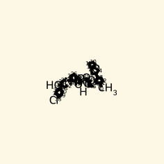 Cc1ccc(C2CCC3(CCCC3)OC2)c(OC2(C(=O)NS(=O)(=O)c3cccc(N4CCC(O)(c5ccc(Cl)cc5)CC4)n3)CC2)c1